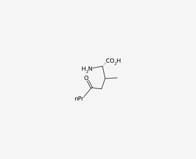 CCCC(=O)CC(C)[C@H](N)C(=O)O